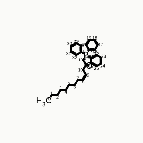 CCCCCCCC/C=C\CC(=O)C=P(c1ccccc1)(c1ccccc1)c1ccccc1